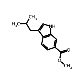 COC(=O)c1ccc2c(CC(C)C)c[nH]c2c1